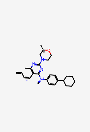 C=C/C=C\c1c(C)nc(N2CCO[C@H](C)C2)nc1[N+](=C)c1ccc(C2CCCCC2)cc1